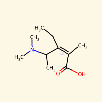 CC/C(=C(\C)C(=O)O)C(C)N(C)C